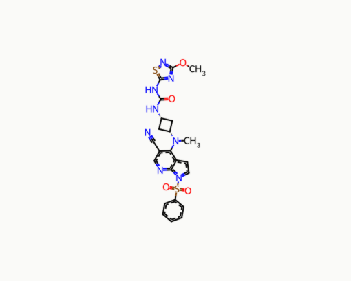 COc1nsc(NC(=O)N[C@H]2C[C@@H](N(C)c3c(C#N)cnc4c3ccn4S(=O)(=O)c3ccccc3)C2)n1